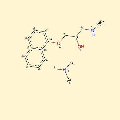 CC(=O)N(C)C.CC(C)NCC(O)COc1cccc2ccccc12